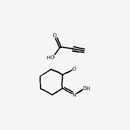 C#CC(=O)O.O/N=C1/CCCCC1Cl